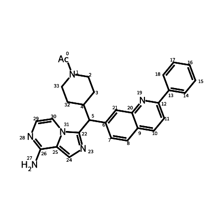 CC(=O)N1CCC(C(c2ccc3ccc(-c4ccccc4)nc3c2)c2ncc3c(N)nccn23)CC1